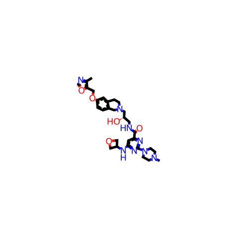 Cc1ncoc1COc1ccc2c(c1)CCN(C[C@@H](O)CNC(=O)c1cc(NC3COC3)nc(N3CCN(C)CC3)n1)C2